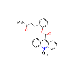 CNC(=O)CCc1ccccc1OC(=O)c1c2ccccc2[n+](C)c2ccccc12